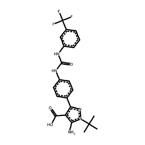 CC(C)(C)n1nc(-c2ccc(NC(=O)Nc3cccc(C(F)(F)F)c3)cc2)c(C(=O)O)c1N